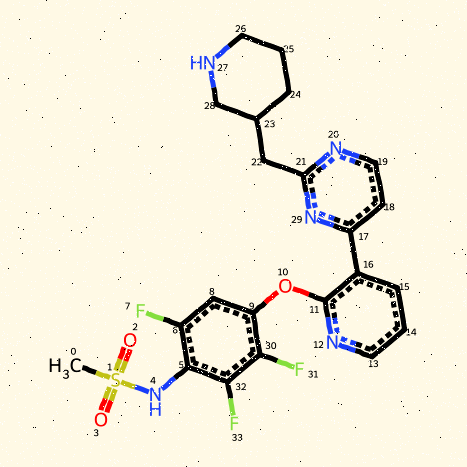 CS(=O)(=O)Nc1c(F)cc(Oc2ncccc2-c2ccnc(CC3CCCNC3)n2)c(F)c1F